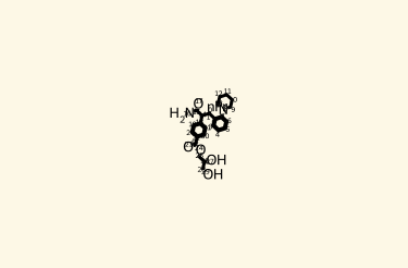 CCCC(c1ccccc1N1CCCCC1)C(C(N)=O)c1ccc(C(=O)OCC(O)CO)cc1